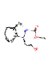 CC(C)(C)OC(=O)NC(CCO)c1ccccc1C(F)(F)F